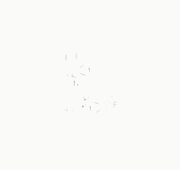 CCC(C1CCN(C(=O)c2ccccc2OC(F)F)CC1)S(=O)(=O)c1cccc(OC(F)(F)F)c1